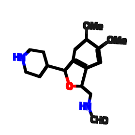 COC1=CC2=C(CC1OC)C(C1CCNCC1)OC2CNC=O